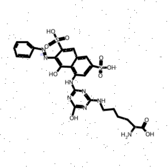 NC(CCCCNc1nc(O)nc(Nc2cc(S(=O)(=O)O)cc3cc(S(=O)(=O)O)c(/N=N/c4ccccc4)c(O)c23)n1)C(=O)O